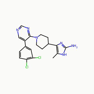 Cc1[nH]c(N)nc1C1CCN(c2ncncc2-c2ccc(Cl)c(Cl)c2)CC1